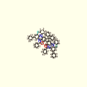 Fc1ccccc1N(c1ccc(-c2ccccc2)cc1)c1cc2c(c3oc(-c4ccccc4)nc13)-c1c(cc(N(c3ccc(-c4ccccc4)cc3)c3ccccc3F)c3nc(-c4ccccc4)oc13)C2(c1ccccc1)c1ccccc1